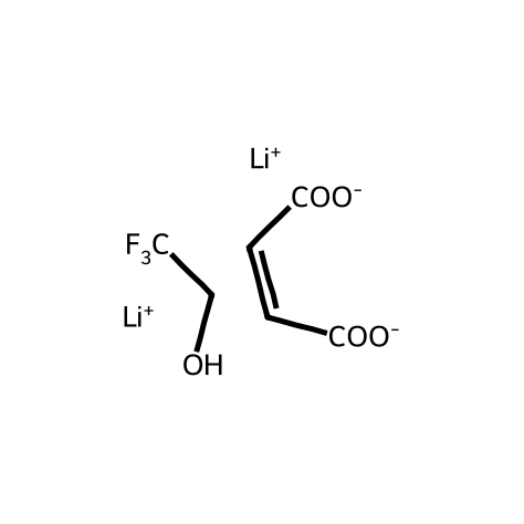 O=C([O-])/C=C\C(=O)[O-].OCC(F)(F)F.[Li+].[Li+]